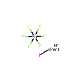 CCCCCI.[F][Sb-]([F])([F])([F])([F])[F].[H+]